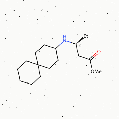 CC[C@@H](CC(=O)OC)NC1CCC2(CCCCC2)CC1